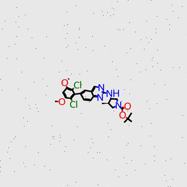 COc1cc(OC)c(Cl)c(-c2ccc3nc(N[C@@H]4CN(C(=O)OC(C)(C)C)C[C@H]4C)ncc3c2)c1Cl